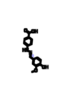 COc1cc(/C=N/Nc2ccc(C(=O)O)cc2)ccc1O